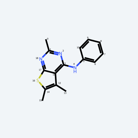 Cc1nc(Nc2ccccc2)c2c(C)c(C)sc2n1